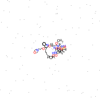 C=C[C@@H]1C[C@]1(NC(=O)[C@@H]1C[C@@H]2CN1C(=O)[C@H](C(C)(C)C)NC(=O)O[C@@H]1CCC[C@H]1CC/C=C/Cc1c(nc3ccccc3c1OCCCN1CCOCC1)O2)C(=O)NS(=O)(=O)C1(C)CC1